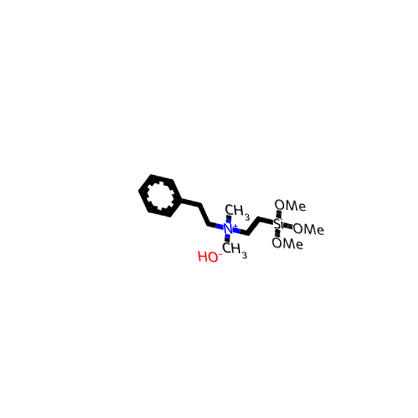 CO[Si](CC[N+](C)(C)CCc1ccccc1)(OC)OC.[OH-]